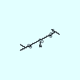 CCCCCC(CCCC)CCCOC(=O)CCCCCCCCCP(CCCCCCCCCC(=O)OCCCC(CCCCC)CCCCC)C(=O)CCCN(C)C